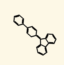 C1=CC(=C2c3ccccc3-c3ccccc32)CC=C1c1ccccc1